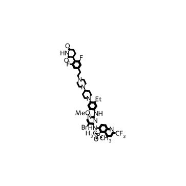 CCc1cc(Nc2ncc(Br)c(Nc3ccc4nc(C(F)(F)F)ccc4c3P(C)(C)=O)n2)c(OC)cc1N1CCC(N2CCN(CCc3cc(F)c(C4CCC(=O)NC4=O)c(F)c3)CC2)CC1